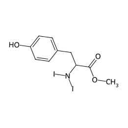 COC(=O)C(Cc1ccc(O)cc1)N(I)I